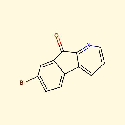 O=C1c2cc(Br)ccc2-c2cccnc21